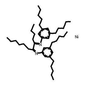 CCCCCCC(=Nc1cc(CCCCC)cc(CCCCC)c1)C(CCCC)=Nc1cc(CCCCC)cc(CCCCC)c1.[Ni]